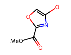 COC(=O)c1nc([O])co1